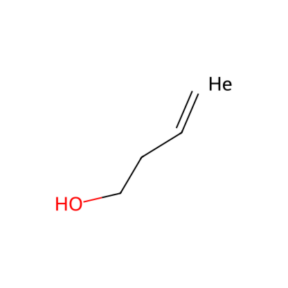 C=CCCO.[He]